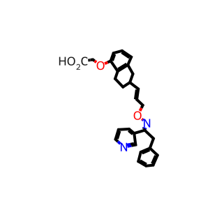 O=C(O)COc1cccc2c1CCC(C=CCON=C(Cc1ccccc1)c1cccnc1)C2